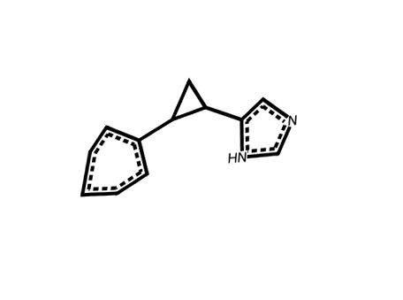 c1ccc(C2CC2c2cnc[nH]2)cc1